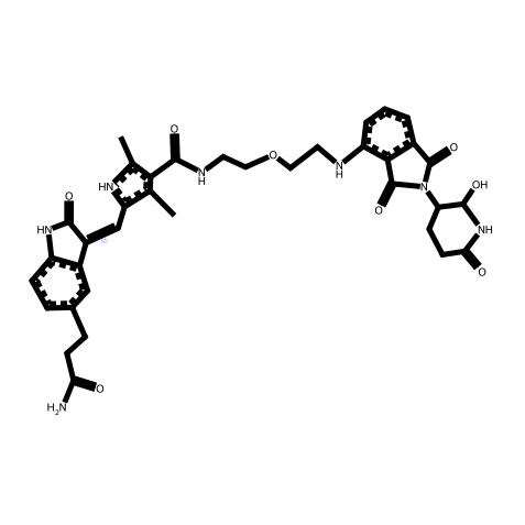 Cc1[nH]c(/C=C2\C(=O)Nc3ccc(CCC(N)=O)cc32)c(C)c1C(=O)NCCOCCNc1cccc2c1C(=O)N(C1CCC(=O)NC1O)C2=O